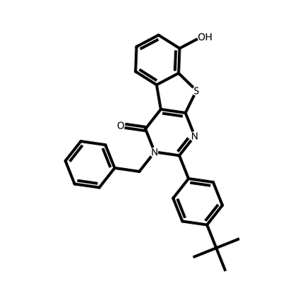 CC(C)(C)c1ccc(-c2nc3sc4c(O)cccc4c3c(=O)n2Cc2ccccc2)cc1